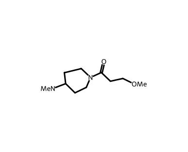 CNC1CCN(C(=O)CCOC)CC1